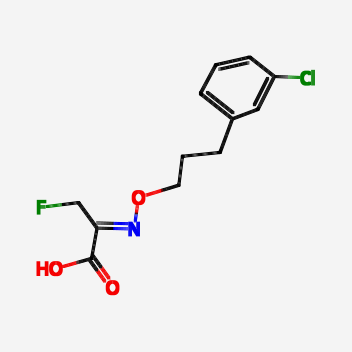 O=C(O)C(CF)=NOCCCc1cccc(Cl)c1